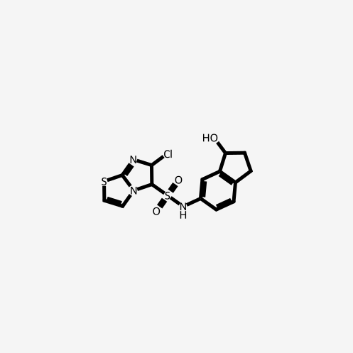 O=S(=O)(Nc1ccc2c(c1)C(O)CC2)C1C(Cl)N=C2SC=CN21